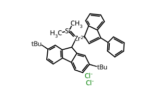 C[Si](C)=[Zr+2]([CH]1C=C(c2ccccc2)c2ccccc21)[CH]1c2cc(C(C)(C)C)ccc2-c2ccc(C(C)(C)C)cc21.[Cl-].[Cl-]